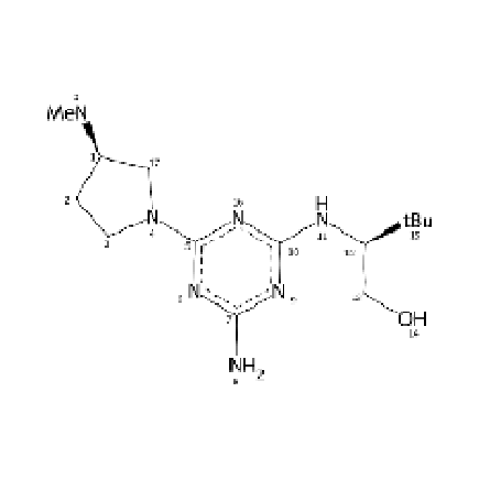 CN[C@@H]1CCN(c2nc(N)nc(N[C@H](CO)C(C)(C)C)n2)C1